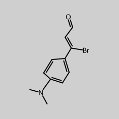 CN(C)c1ccc(/C(Br)=C/C=O)cc1